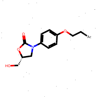 CC(=O)CCOc1ccc(N2C[C@H](CO)OC2=O)cc1